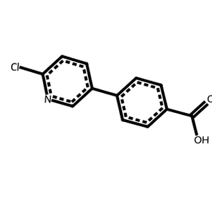 O=C(O)c1ccc(-c2ccc(Cl)nc2)cc1